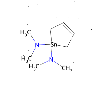 C[N](C)[Sn]1([N](C)C)[CH2]C=C[CH2]1